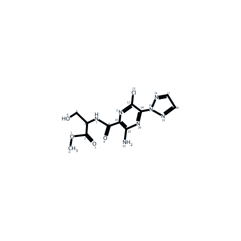 COC(=O)C(CO)NC(=O)c1nc(Cl)c(-n2nccn2)nc1N